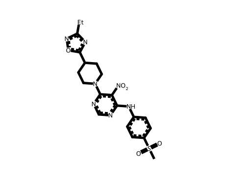 CCc1noc(C2CCN(c3ncnc(Nc4ccc(S(C)(=O)=O)cc4)c3[N+](=O)[O-])CC2)n1